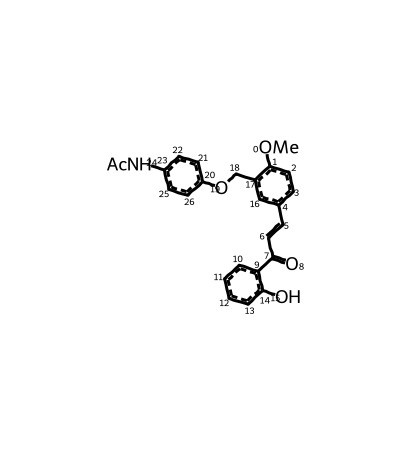 COc1ccc(/C=C/C(=O)c2ccccc2O)cc1COc1ccc(NC(C)=O)cc1